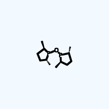 C[C@@H]1CC[C@@H](C)P1OP1[C@H](C)CC[C@H]1C